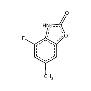 Cc1cc(F)c2[nH]c(=O)oc2c1